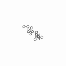 c1ccc(-c2nc(-c3cccc(-c4ccc5c(c4)oc4cccc(N6c7ccccc7C7CCC(c8ccccc8)CC76)c45)c3)nc(C3CCCCC3)n2)cc1